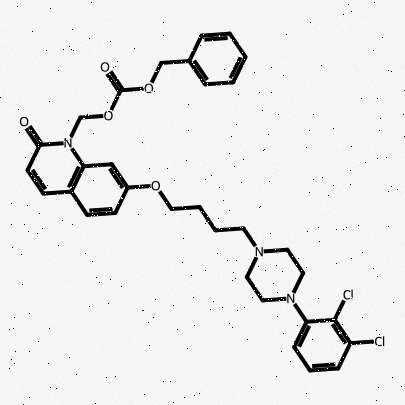 O=C(OCc1ccccc1)OCn1c(=O)ccc2ccc(OCCCCN3CCN(c4cccc(Cl)c4Cl)CC3)cc21